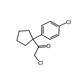 O=C(CCl)C1(c2ccc(Cl)cc2)CCCC1